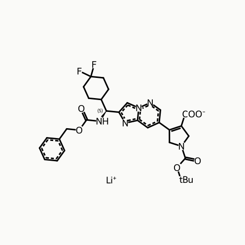 CC(C)(C)OC(=O)N1CC(C(=O)[O-])=C(c2cnn3cc([C@@H](NC(=O)OCc4ccccc4)C4CCC(F)(F)CC4)nc3c2)C1.[Li+]